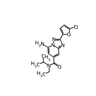 CCN(C(=O)c1cc(N)n2nc(-c3ccc(Cl)o3)nc2c1)C(C)C